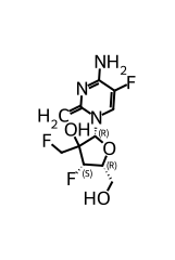 C=C1N=C(N)C(F)=CN1[C@@H]1O[C@H](CO)[C@H](F)C1(O)CF